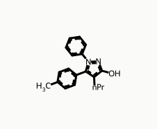 CCCc1c(O)nn(-c2ccccc2)c1-c1ccc(C)cc1